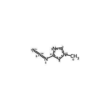 Cn1cnc(N=[N+]=[N-])c1